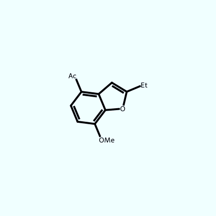 CCc1cc2c(C(C)=O)ccc(OC)c2o1